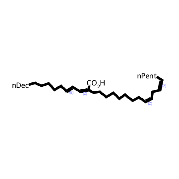 CCCCC/C=C\C/C=C\CCCCCCCC/C(=C/C=C/CCCCCCCCCCCCCCC)C(=O)O